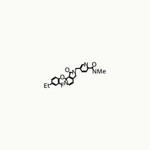 CCc1ccc(Oc2nccc3c2C(=O)N(Cc2ccc(C(=O)NC)nc2)C3)c(F)c1